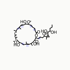 CCCC(O)C(O)C1CC1(C)C(O)C/C=C/C1OC(=O)/C=C/C=C/C(OC)C(O)/C=C/C(C)=C/C(C)CCCC(OC)C(O)/C=C/C(C)=C/C(C)C(O)C1OC